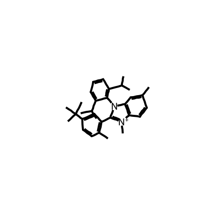 Cc1ccc2c(c1)n(-c1c(C(C)C)cccc1C(C)C)c(-c1cc(C(C)(C)C)ccc1C)[n+]2C